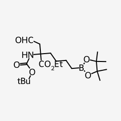 CCOC(=O)C(CC=O)(CCCCB1OC(C)(C)C(C)(C)O1)NC(=O)OC(C)(C)C